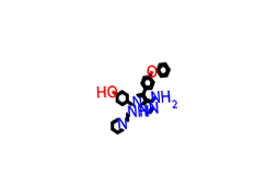 Nc1ncnc2c1c(-c1ccc(Oc3ccccc3)cc1)cn2C(NCCN1CCCCC1)C1CCC(O)CC1